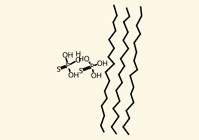 CCCCCCCCCCCCCCCC.CCCCCCCCCCCCCCCC.CCCCCCCCCCCCCCCC.OP(O)(O)=S.OP(O)(O)=S